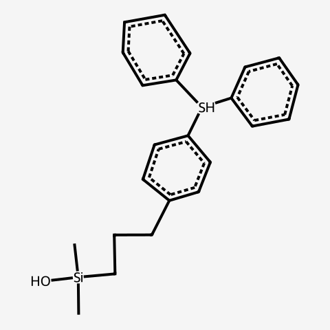 C[Si](C)(O)CCCc1ccc([SH](c2ccccc2)c2ccccc2)cc1